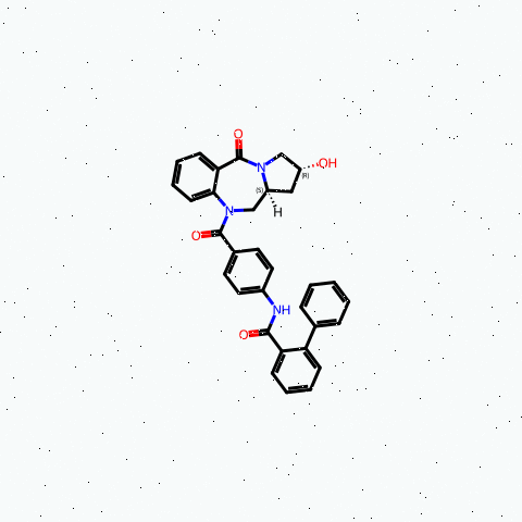 O=C(Nc1ccc(C(=O)N2C[C@@H]3C[C@@H](O)CN3C(=O)c3ccccc32)cc1)c1ccccc1-c1ccccc1